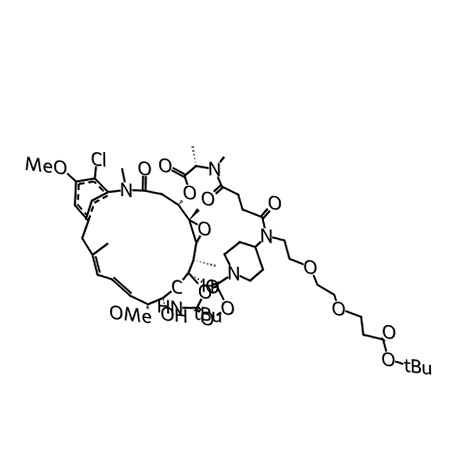 COc1cc2cc(c1Cl)N(C)C(=O)C[C@H](OC(=O)[C@H](C)N(C)C(=O)CCC(=O)N(CCOCCOCCC(=O)OC(C)(C)C)C1CCN(C(=O)OC(C)(C)C)CC1)[C@]1(C)OC1[C@H](C)[C@@H]1C[C@@](O)(NC(=O)O1)[C@H](OC)/C=C/C=C(\C)C2